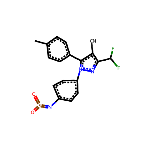 Cc1ccc(-c2c(C#N)c(C(F)F)nn2-c2ccc(N=S(=O)=O)cc2)cc1